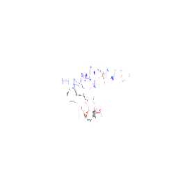 COc1cc2nc(N3CCCC3C(=O)N3CCOCC3)nc(N)c2c(-c2ccccc2)c1OC